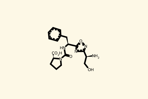 N[C@@H](CO)c1noc([C@H](Cc2ccccc2)NC(=O)N2CCC[C@@H]2C(=O)O)n1